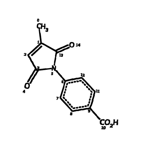 CC1=CC(=O)N(c2ccc(C(=O)O)cc2)C1=O